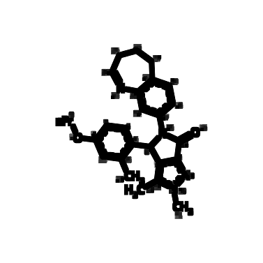 CCCOc1ccc(C2c3c(nn(C)c3C)C(=O)N2c2ccc3c(c2)N=CCCC3)c(C)c1